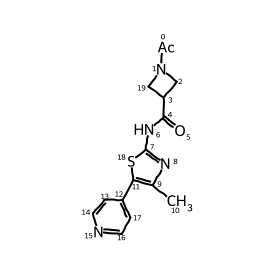 CC(=O)N1CC(C(=O)Nc2nc(C)c(-c3ccncc3)s2)C1